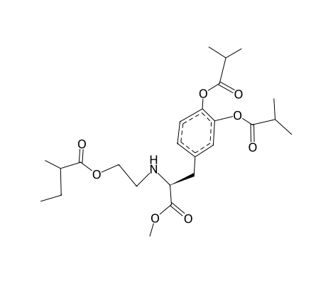 CCC(C)C(=O)OCCN[C@@H](Cc1ccc(OC(=O)C(C)C)c(OC(=O)C(C)C)c1)C(=O)OC